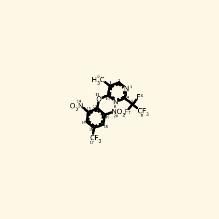 Cc1cnc(C(F)(F)C(F)(F)F)nc1Oc1c([N+](=O)[O-])cc(C(F)(F)F)cc1[N+](=O)[O-]